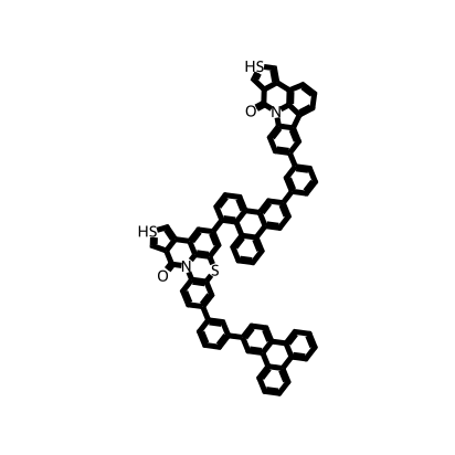 O=C1C2C=[SH]C=C2c2cc(-c3cccc4c5cc(-c6cccc(-c7ccc8c(c7)c7cccc9c7n8C(=O)C7C=[SH]C=C97)c6)ccc5c5ccccc5c34)cc3c2N1c1ccc(-c2cccc(-c4ccc5c6ccccc6c6ccccc6c5c4)c2)cc1S3